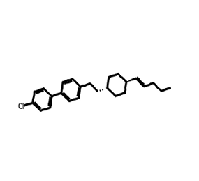 CCCC=C[C@H]1CC[C@H](CCc2ccc(-c3ccc(Cl)cc3)cc2)CC1